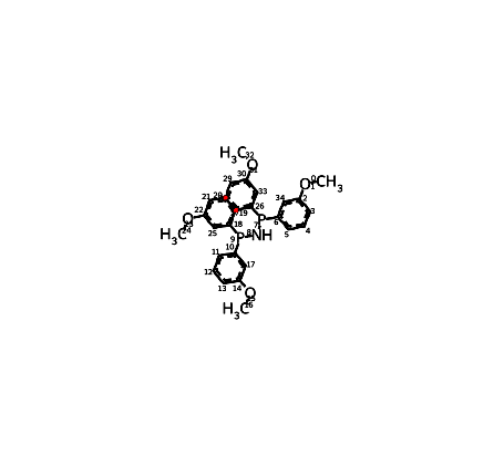 COc1cccc(P(NP(c2cccc(OC)c2)c2cccc(OC)c2)c2cccc(OC)c2)c1